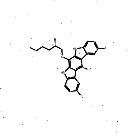 CCCC[C@@H](C)COc1c2[nH]c3ccc(F)cc3c2c(Cl)c2c1[nH]c1ccc(F)cc12